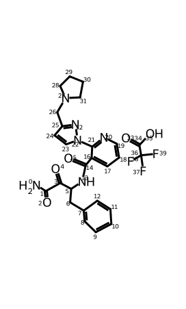 NC(=O)C(=O)C(Cc1ccccc1)NC(=O)c1cccnc1-n1ccc(CN2CCCC2)n1.O=C(O)C(F)(F)F